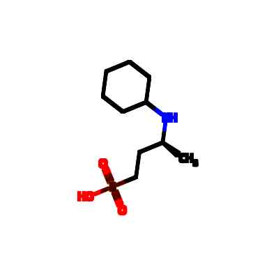 C[C@@H](CCS(=O)(=O)O)NC1CCCCC1